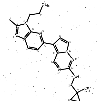 COCCn1c(C)nc2ccc(-c3ccn4nc(NCC5(C(F)(F)F)CC5)ncc34)nc21